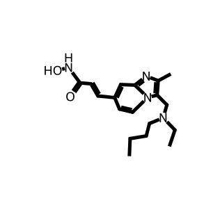 CCCCN(CC)Cc1c(C)nc2cc(C=CC(=O)NO)ccn12